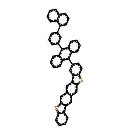 c1cc(-c2cccc3ccccc23)cc(-c2c3ccccc3c(-c3ccc4sc5cc6cc7c(cc6cc5c4c3)sc3ccccc37)c3ccccc23)c1